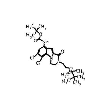 CC(C)(C)OC(=O)Nc1cc(Cl)c(Cl)c2c1cc1n2CCN(CCO[Si](C)(C)C(C)(C)C)C1=O